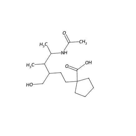 CC(=O)NC(C)C(C)C(CO)CCC1(C(=O)O)CCCC1